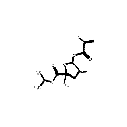 C=C(F)C(=O)OC1OC(C(=O)OC(C(F)(F)F)C(F)(F)F)(C(F)(F)F)CC1C